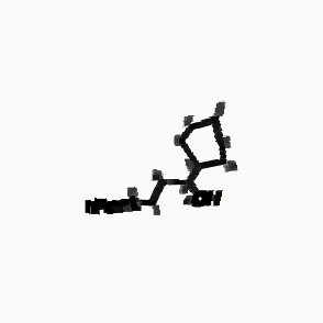 CCCCCCCC(O)C1CCCCC1